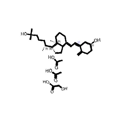 C=C1CC[C@H](O)C/C1=C/C=C1CCC[C@@]2(C)C1CC[C@@H]2[C@H](C)CCCC(C)(C)O.CC(=O)O.CC(=O)O.O=C(O)CO